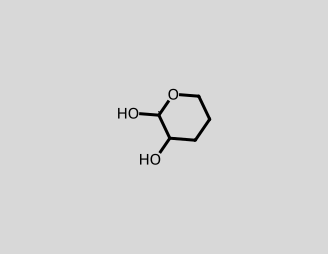 O[C]1OCCCC1O